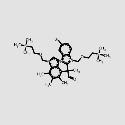 Cc1c(C)c(C)c2c(ccn2COCC[Si](C)(C)C)c1C(C)(C=O)c1nc2cc(Br)ccc2n1COCC[Si](C)(C)C